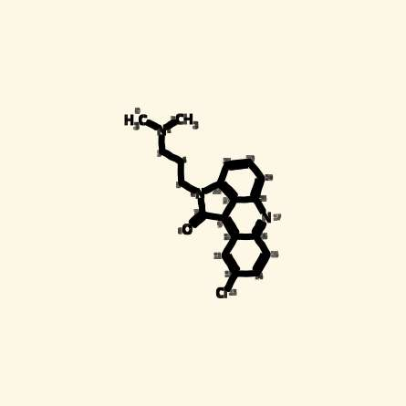 CN(C)CCCN1C(=O)c2c3cc(Cl)ccc3nc3cccc1c23